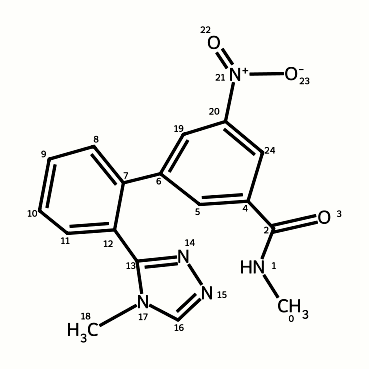 CNC(=O)c1cc(-c2ccccc2-c2nncn2C)cc([N+](=O)[O-])c1